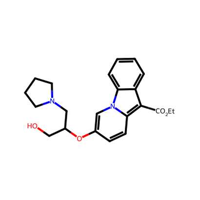 CCOC(=O)c1c2ccccc2n2cc(OC(CO)CN3CCCC3)ccc12